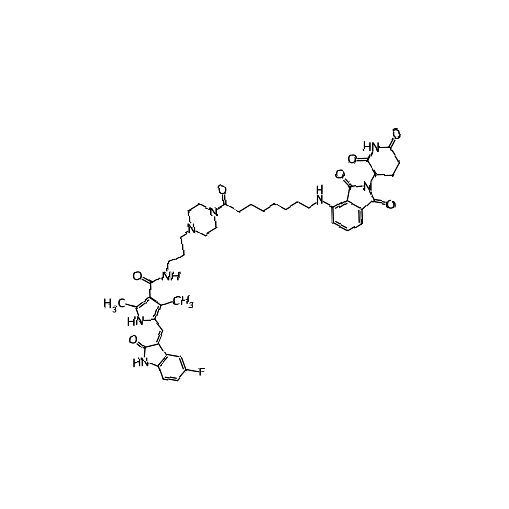 Cc1[nH]c(/C=C2\C(=O)Nc3ccc(F)cc32)c(C)c1C(=O)NCCCN1CCN(C(=O)CCCCCCCNc2cccc3c2C(=O)N(C2CCC(=O)NC2=O)C3=O)CC1